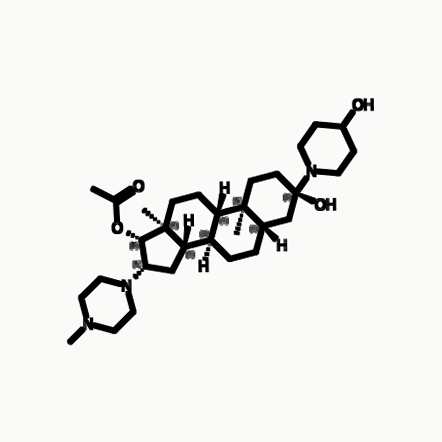 CC(=O)O[C@H]1[C@@H](N2CCN(C)CC2)C[C@H]2[C@@H]3CC[C@H]4C[C@@](O)(N5CCC(O)CC5)CC[C@]4(C)[C@H]3CC[C@@]21C